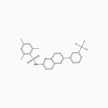 Cc1cc(C)c(S(=O)(=O)Nc2ccc3cc(-c4cccc(C(F)(F)F)c4)ccc3n2)c(C)c1